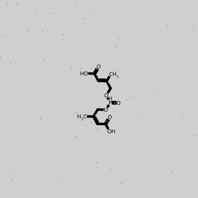 CC(=CC(=O)O)CO[PH](=O)OCC(C)=CC(=O)O